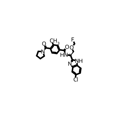 Cc1cc(C(=O)N[C@@H](COCF)c2nc3cc(Cl)ccc3[nH]2)ccc1C(=O)N1CCCC1